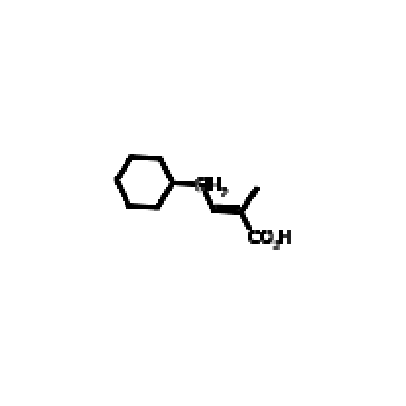 CC(=C[SiH2]C1CCCCC1)C(=O)O